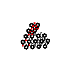 Fc1cccc(F)c1N1c2ccccc2B2c3cc4c(cc3N(c3c(F)cccc3F)c3cc(N(c5c(F)cccc5F)c5c(F)cccc5F)cc1c32)N(c1c(F)cccc1F)c1cc(N(c2c(F)cccc2F)c2c(F)cccc2F)cc2c1B4c1cc3c(cc1N2c1c(F)cccc1F)N(c1c(F)cccc1F)c1cc(N(c2c(F)cccc2F)c2c(F)cccc2F)cc2c1B3c1ccccc1N2c1c(F)cccc1F